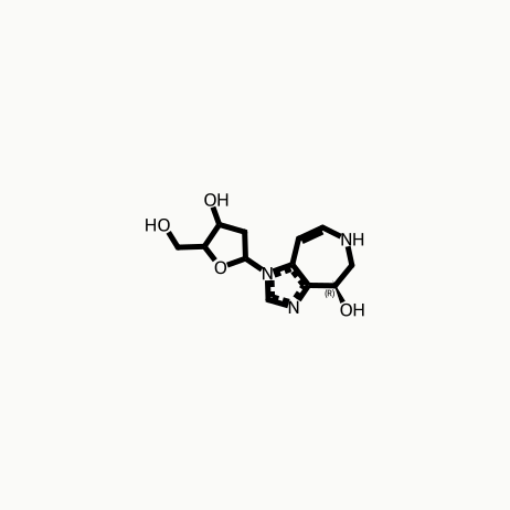 OCC1OC(n2cnc3c2C=CNC[C@H]3O)CC1O